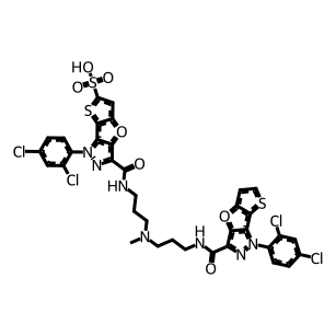 CN(CCCNC(=O)c1nn(-c2ccc(Cl)cc2Cl)c2c1oc1ccsc12)CCCNC(=O)c1nn(-c2ccc(Cl)cc2Cl)c2c1oc1cc(S(=O)(=O)O)sc12